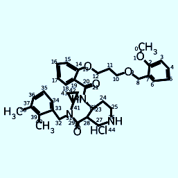 COc1ccccc1COCCCOc1ccccc1C(=O)N[C@H]1CCNCC1C(=O)N(Cc1cccc(C)c1C)C1CC1.Cl